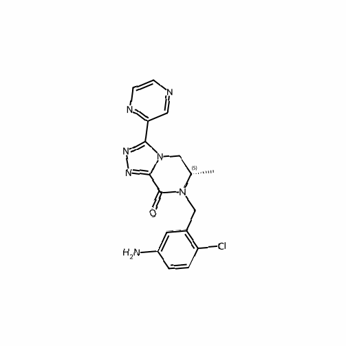 C[C@H]1Cn2c(nnc2-c2cnccn2)C(=O)N1Cc1cc(N)ccc1Cl